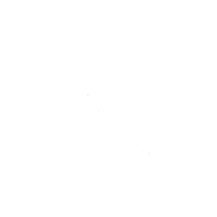 C=CCOc1c(OC)cc(/C=C/c2cc(OC(C)C)cc(=O)o2)cc1OC